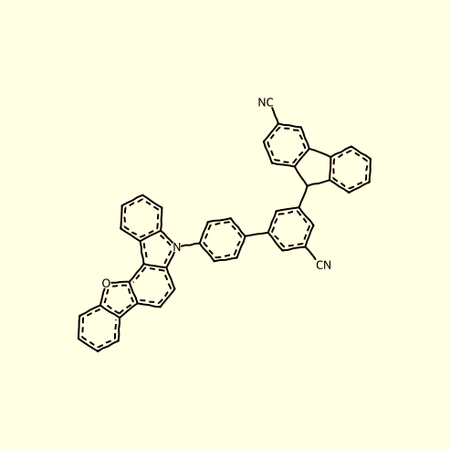 N#Cc1cc(-c2ccc(-n3c4ccccc4c4c5oc6ccccc6c5ccc43)cc2)cc(C2c3ccccc3-c3cc(C#N)ccc32)c1